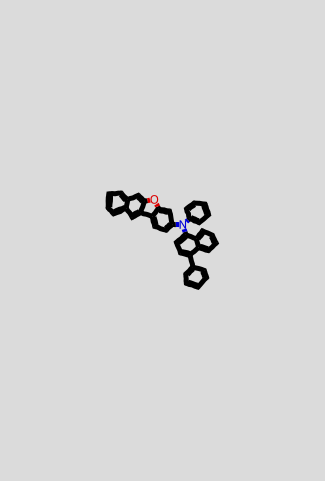 c1ccc(-c2ccc(N(c3ccccc3)c3ccc4c(c3)oc3cc5ccccc5cc34)c3ccccc23)cc1